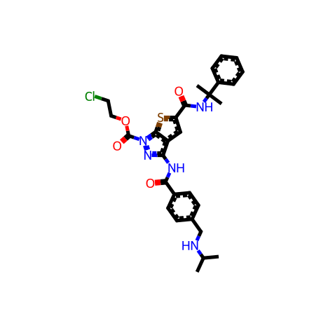 CC(C)NCc1ccc(C(=O)Nc2nn(C(=O)OCCCl)c3sc(C(=O)NC(C)(C)c4ccccc4)cc23)cc1